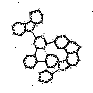 c1ccc(-c2ccccc2-c2nc(-c3ccc4ccc5ccc6nn(-c7ccccc7)nc6c5c4c3)nc(-n3c4ccccc4c4ccccc43)n2)cc1